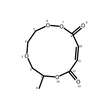 CC1COCCOOC(=O)C=CC(=O)O1